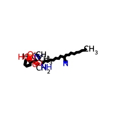 C=C(OC(=N)CCCCCCCC(C#N)CCCCCCCCC)OC(C[N+](C)(C)C)(OP(=O)([O-])O)c1ccccc1